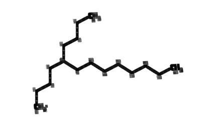 [CH2]CCCC(CCCC)CCCCCCCC